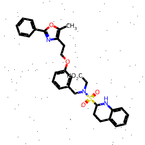 Cc1oc(-c2ccccc2)nc1CCOc1cccc(CN(CC(=O)O)S(=O)(=O)C2CCc3ccccc3N2)c1